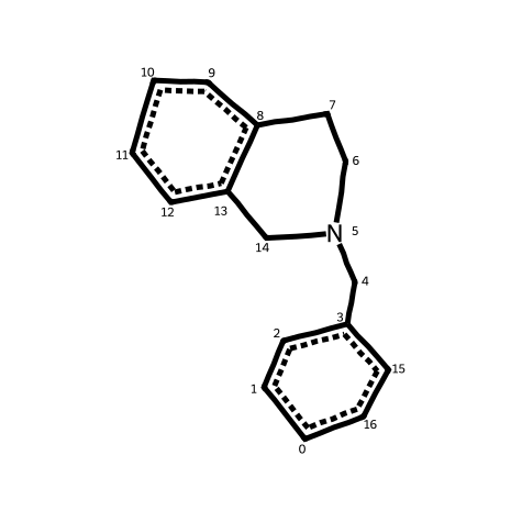 c1ccc(CN2CCc3ccccc3C2)cc1